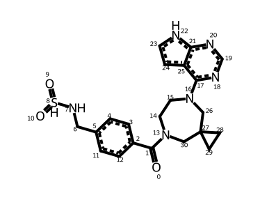 O=C(c1ccc(CN[SH](=O)=O)cc1)N1CCN(c2ncnc3[nH]ccc23)CC2(CC2)C1